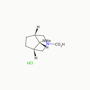 CN[C@H]1[C@@H]2CC[C@H]1CN(C(=O)O)C2.Cl